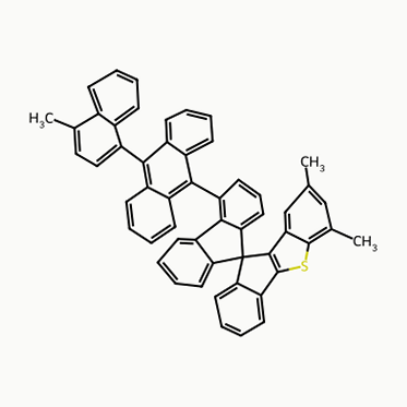 Cc1cc(C)c2sc3c(c2c1)C1(c2ccccc2-3)c2ccccc2-c2c(-c3c4ccccc4c(-c4ccc(C)c5ccccc45)c4ccccc34)cccc21